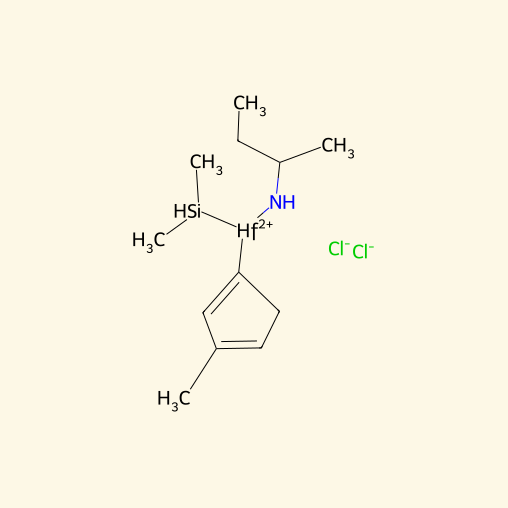 CCC(C)[NH][Hf+2]([C]1=CC(C)=CC1)[SiH](C)C.[Cl-].[Cl-]